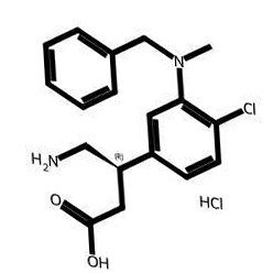 CN(Cc1ccccc1)c1cc([C@H](CN)CC(=O)O)ccc1Cl.Cl